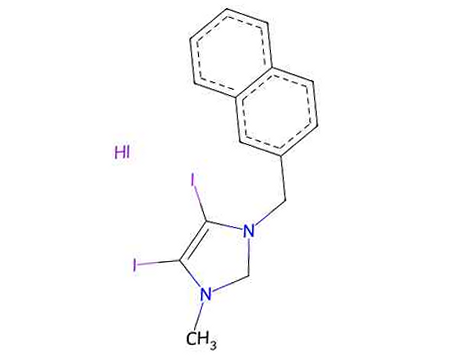 CN1CN(Cc2ccc3ccccc3c2)C(I)=C1I.I